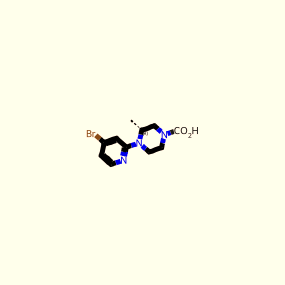 C[C@@H]1CN(C(=O)O)CCN1c1cc(Br)ccn1